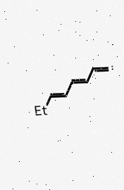 [C]=C/C=C/C=C/CC